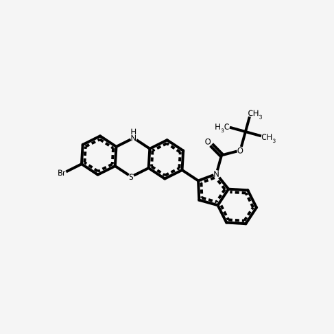 CC(C)(C)OC(=O)n1c(-c2ccc3c(c2)Sc2cc(Br)ccc2N3)cc2ccccc21